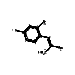 CC(=O)C(=Cc1ccc(F)cc1Br)C(=O)O